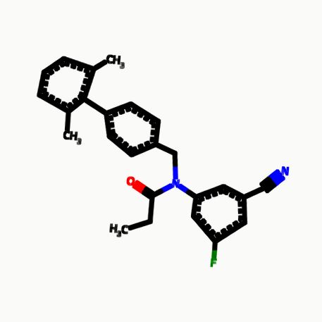 CCC(=O)N(Cc1ccc(-c2c(C)cccc2C)cc1)c1cc(F)cc(C#N)c1